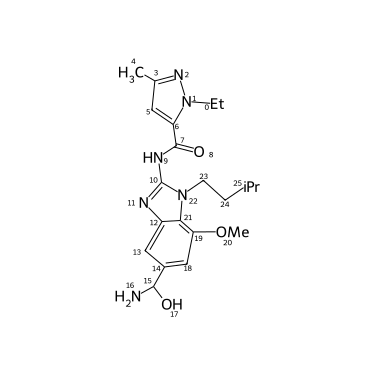 CCn1nc(C)cc1C(=O)Nc1nc2cc(C(N)O)cc(OC)c2n1CCC(C)C